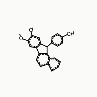 COc1cc2c(cc1Cl)C(c1ccc(O)cc1)c1c-2ccc2ccccc12